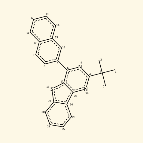 CC(C)(C)c1nc(-c2ccc3ccccc3c2)c2sc3ccccc3c2n1